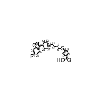 O=C(O)c1ccc(SCCCCN2CCC(c3noc4cc(F)ccc34)CC2)s1